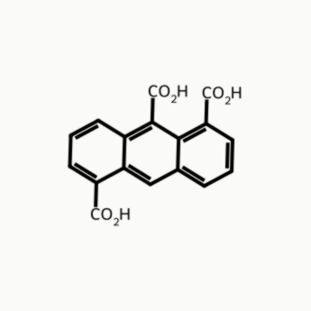 O=C(O)c1cccc2c(C(=O)O)c3c(C(=O)O)cccc3cc12